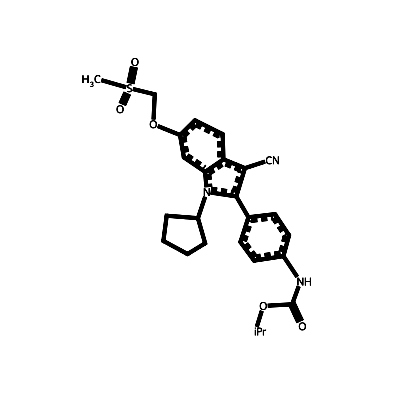 CC(C)OC(=O)Nc1ccc(-c2c(C#N)c3ccc(OCS(C)(=O)=O)cc3n2C2CCCC2)cc1